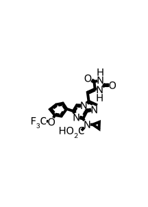 O=C1NC(=O)C(=Cc2cnc3c(N(C(=O)O)C4CC4)nc(-c4cccc(OC(F)(F)F)c4)cn23)N1